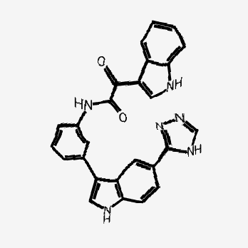 O=C(Nc1cccc(-c2c[nH]c3ccc(-c4nnc[nH]4)cc23)c1)C(=O)c1c[nH]c2ccccc12